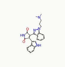 CN(C)CCCn1nc(C2=C(c3c[nH]c4ccccc34)C(=O)NC2=O)c2ccccc21